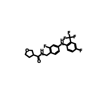 O=C(NCc1ccc(Nc2ccc(F)cc2C(F)(F)F)cc1F)C1CCOC1